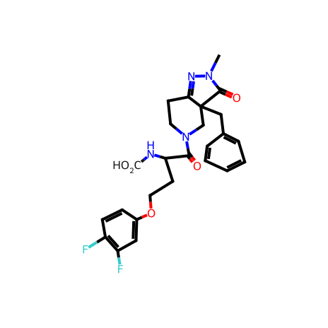 CN1N=C2CCN(C(=O)C(CCOc3ccc(F)c(F)c3)NC(=O)O)CC2(Cc2ccccc2)C1=O